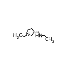 CCNCC1CCN(CC)C1